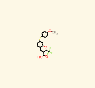 COc1ccc(Sc2ccc3c(c2)OC(C(F)(F)F)C(C(=O)O)=C3)cc1